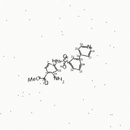 COC(=O)c1ccc(NS(=O)(=O)c2cccc(-c3ccncc3)c2)cc1N